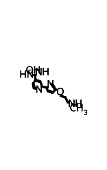 CNCCCOc1ccc(-c2cc(C(=N)NO)ccn2)nc1